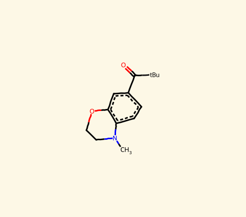 CN1CCOc2cc(C(=O)C(C)(C)C)ccc21